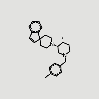 Cc1ccc(CN2CC[C@@H](C)[C@H](N3CCC4(C=Cc5ccccc54)CC3)C2)cc1